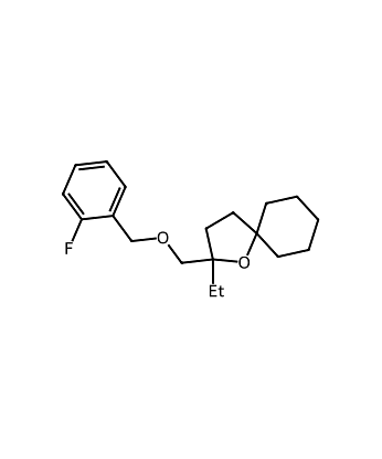 CCC1(COCc2ccccc2F)CCC2(CCCCC2)O1